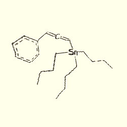 CCC[CH2][Sn]([CH]=C=Cc1ccccc1)([CH2]CCC)[CH2]CCC